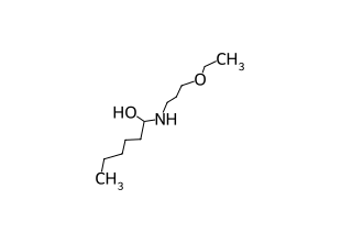 CCCCCC(O)NCCCOCC